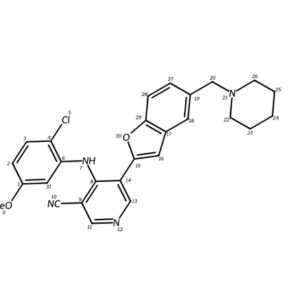 COc1ccc(Cl)c(Nc2c(C#N)cncc2-c2cc3cc(CN4CCCCC4)ccc3o2)c1